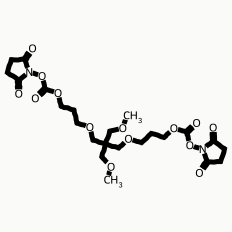 COCC(COC)(COCCCOC(=O)ON1C(=O)CCC1=O)COCCCOC(=O)ON1C(=O)CCC1=O